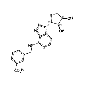 O=C(O)c1cccc(CNc2nccn3c([C@@H]4SC[C@@H](O)[C@H]4O)nnc23)c1